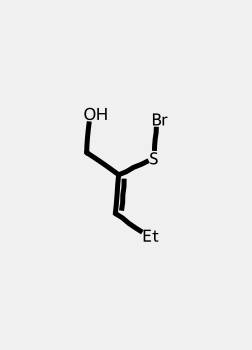 CC/C=C(/CO)SBr